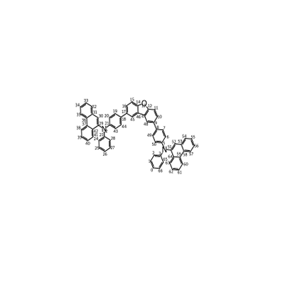 c1ccc(N(c2ccc(-c3ccc4oc5ccc(-c6ccc(N(c7ccccc7)c7cc8ccccc8c8ccccc78)cc6)cc5c4c3)cc2)c2cc3ccccc3c3ccccc23)cc1